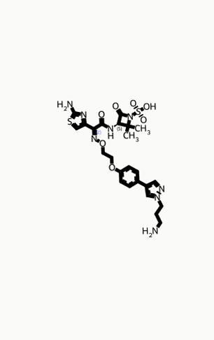 CC1(C)[C@H](NC(=O)/C(=N\OCCOc2ccc(-c3cnn(CCCN)c3)cc2)c2csc(N)n2)C(=O)N1S(=O)(=O)O